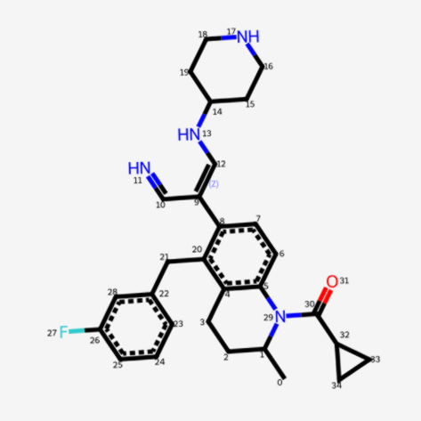 CC1CCc2c(ccc(/C(C=N)=C/NC3CCNCC3)c2Cc2cccc(F)c2)N1C(=O)C1CC1